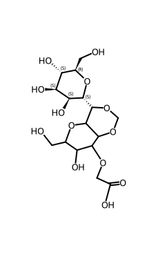 O=C(O)COC1C(O)C(CO)OC2C1OCOC2[C@H]1O[C@H](CO)[C@@H](O)[C@H](O)[C@@H]1O